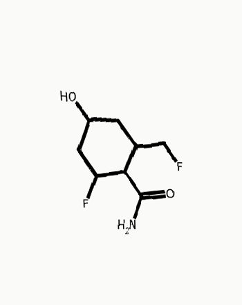 NC(=O)C1C(F)CC(O)CC1CF